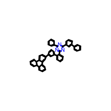 C1=CC2c3ccccc3-c3cc(-c4cccc(-c5ccccc5-c5nc(-c6ccccc6)nc(-c6cccc(-c7ccccc7)c6)n5)c4)ccc3C2C=C1